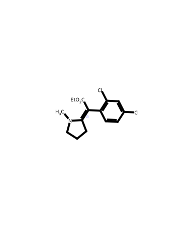 CCOC(=O)/C(=C1/CCCN1C)c1ccc(Cl)cc1Cl